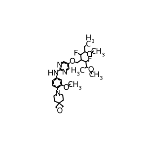 CCC(OC)C(F)C(COc1cnc(Nc2ccc(N3CCC4(CC3)COC4)c(OC)c2)nc1)C(F)C(C)OC